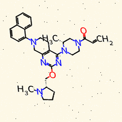 C=CC(=O)N1CCN(c2nc(OC[C@@H]3CCCN3C)nc3c2CCN(c2cccc4ccccc24)C3)[C@H](C)C1